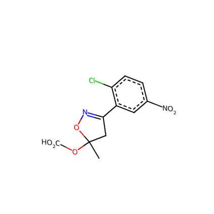 CC1(OC(=O)O)CC(c2cc([N+](=O)[O-])ccc2Cl)=NO1